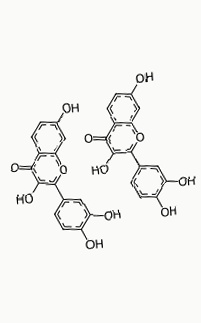 O=c1c(O)c(-c2ccc(O)c(O)c2)oc2cc(O)ccc12.O=c1c(O)c(-c2ccc(O)c(O)c2)oc2cc(O)ccc12